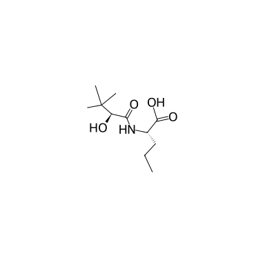 CCC[C@H](NC(=O)[C@@H](O)C(C)(C)C)C(=O)O